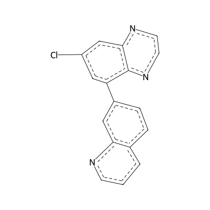 Clc1cc(-c2ccc3cccnc3c2)c2nccnc2c1